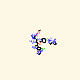 CCOCOc1[nH]nnc1C(N)C(N)=C(OCc1ccc(Cl)cc1)c1c[nH]c2ccc(Cl)cc12.c1c[nH]nn1.c1c[nH]nn1.c1c[nH]nn1